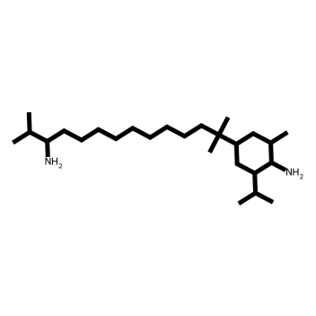 CC(C)C(N)CCCCCCCCCC(C)(C)C1CC(C)C(N)C(C(C)C)C1